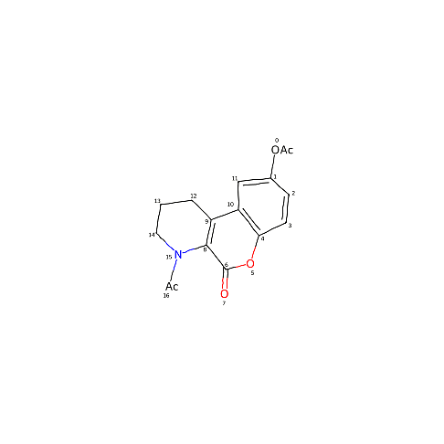 CC(=O)Oc1ccc2oc(=O)c3c(c2c1)CCCN3C(C)=O